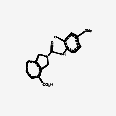 COc1ccc(NC(=O)N2Cc3cccc(C(=O)O)c3C2)c(Cl)c1